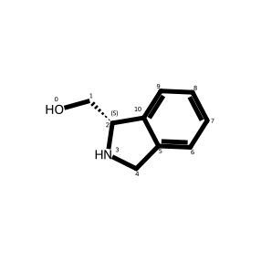 OC[C@H]1NCc2ccccc21